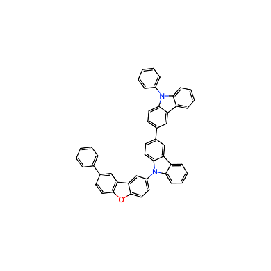 c1ccc(-c2ccc3oc4ccc(-n5c6ccccc6c6cc(-c7ccc8c(c7)c7ccccc7n8-c7ccccc7)ccc65)cc4c3c2)cc1